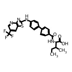 CCC(C)[C@H](NC(=O)c1ccc(-c2ccc(Nc3nc4ncc(C(F)(F)F)cc4s3)cc2)cc1)C(=O)O